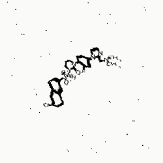 CN(C)Cc1nccn1-c1ccc(N2CCCN(NS(=O)(=O)c3ccc4cc(Cl)ccc4c3)C2=O)c(F)c1